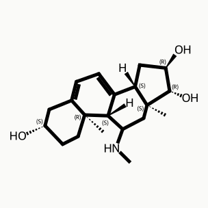 CNC1C[C@@]2(C)[C@@H](C[C@@H](O)[C@@H]2O)C2=CC=C3C[C@@H](O)CC[C@]3(C)[C@H]21